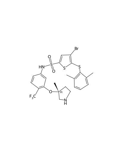 Cc1cccc(C)c1Sc1sc(S(=O)(=O)Nc2ccc(C(F)(F)F)c(O[C@]3(C)CCNC3)c2)cc1Br